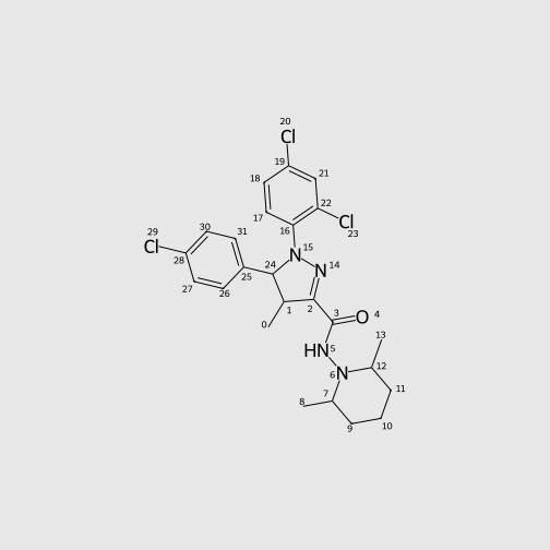 CC1C(C(=O)NN2C(C)CCCC2C)=NN(c2ccc(Cl)cc2Cl)C1c1ccc(Cl)cc1